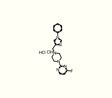 Cl.Cl.Fc1ccnc(N2CCN(Cc3cn(-c4ccccc4)cn3)CC2)n1